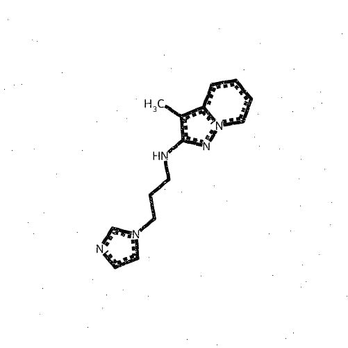 Cc1c(NCCCn2ccnc2)nn2ccccc12